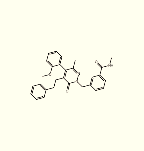 CNC(=O)c1cccc(Cn2nc(C)c(-c3ccccc3OC)c(CCc3ccccc3)c2=O)c1